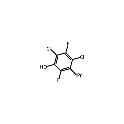 CC(C)c1c(F)c(O)c(Cl)c(F)c1Cl